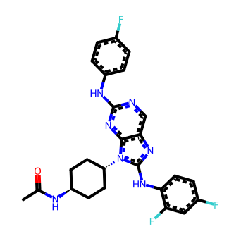 CC(=O)N[C@H]1CC[C@H](n2c(Nc3ccc(F)cc3F)nc3cnc(Nc4ccc(F)cc4)nc32)CC1